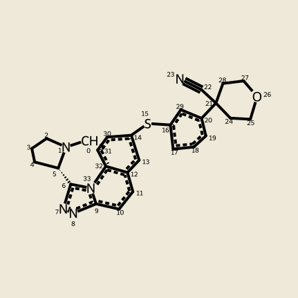 CN1CCC[C@H]1c1nnc2ccc3cc(Sc4cccc(C5(C#N)CCOCC5)c4)ccc3n12